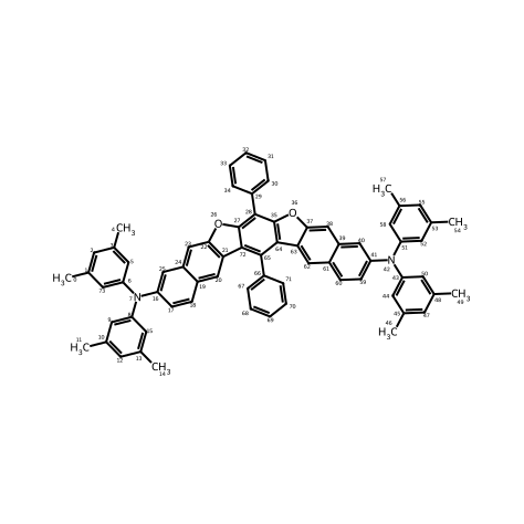 Cc1cc(C)cc(N(c2cc(C)cc(C)c2)c2ccc3cc4c(cc3c2)oc2c(-c3ccccc3)c3oc5cc6cc(N(c7cc(C)cc(C)c7)c7cc(C)cc(C)c7)ccc6cc5c3c(-c3ccccc3)c24)c1